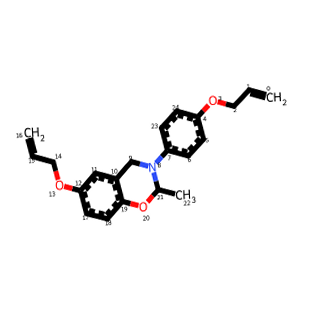 C=CCOc1ccc(N2Cc3cc(OCC=C)ccc3OC2C)cc1